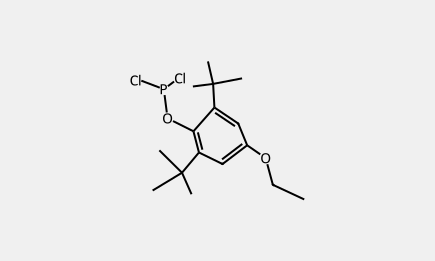 CCOc1cc(C(C)(C)C)c(OP(Cl)Cl)c(C(C)(C)C)c1